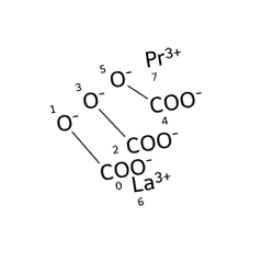 O=C([O-])[O-].O=C([O-])[O-].O=C([O-])[O-].[La+3].[Pr+3]